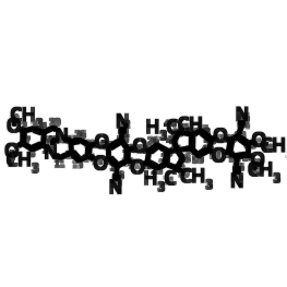 COc1cc2c(cc1OC)N1Cc3cc4oc5c(C#N)c6oc7cc8c(cc7oc6c(C#N)c5oc4cc3N(C2)C1)C1(CC(C)(C)c2cc3c(cc21)Oc1c(C#N)c(OC)c(OC)c(C#N)c1O3)CC8(C)C